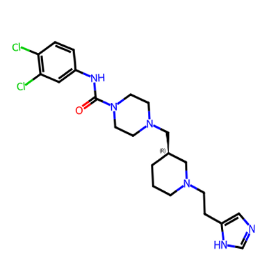 O=C(Nc1ccc(Cl)c(Cl)c1)N1CCN(C[C@@H]2CCCN(CCc3cnc[nH]3)C2)CC1